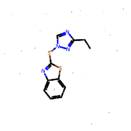 CCc1ncn(Sc2nc3ccccc3s2)n1